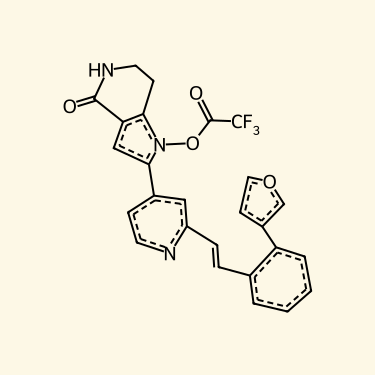 O=C1NCCc2c1cc(-c1ccnc(C=Cc3ccccc3-c3ccoc3)c1)n2OC(=O)C(F)(F)F